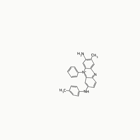 Cc1ccc(Nc2ccc3nc4cc(C)c(N)cc4[n+](-c4ccccc4)c3c2)cc1